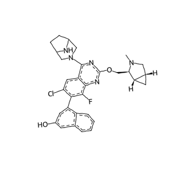 CN1C[C@@H]2C[C@@H]2[C@H]1COc1nc(N2CC3CCC(C2)N3)c2cc(Cl)c(-c3cc(O)cc4ccccc34)c(F)c2n1